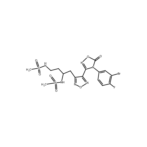 CS(=O)(=O)NCCC(Cc1nonc1-c1noc(=O)n1-c1ccc(F)c(Br)c1)NS(C)(=O)=O